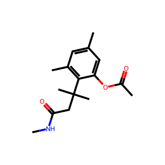 CNC(=O)CC(C)(C)c1c(C)cc(C)cc1OC(C)=O